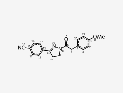 COc1ccc(CC(=O)N2CCC(c3ccc(C#N)cc3)=N2)cc1